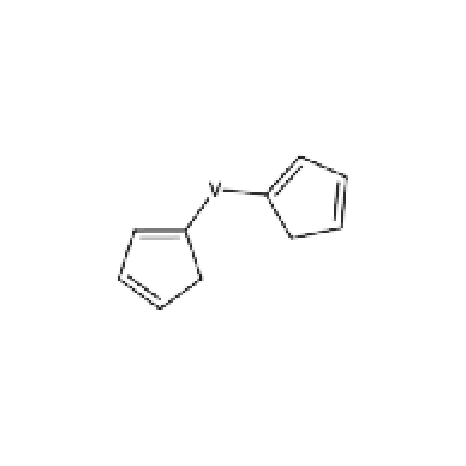 C1=CC[C]([V][C]2=CC=CC2)=C1